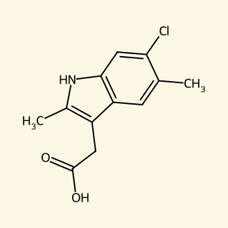 Cc1cc2c(CC(=O)O)c(C)[nH]c2cc1Cl